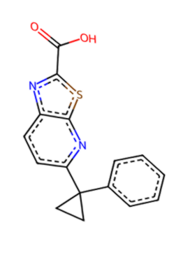 O=C(O)c1nc2ccc(C3(c4ccccc4)CC3)nc2s1